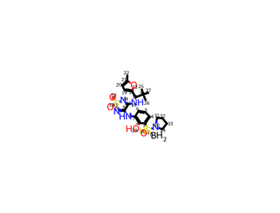 B[SH](=O)(c1cccc(NC2=NS(=O)(=O)N=C2N[C@@H](c2ccc(C)o2)C(C)(C)C)c1O)N1CCCC1